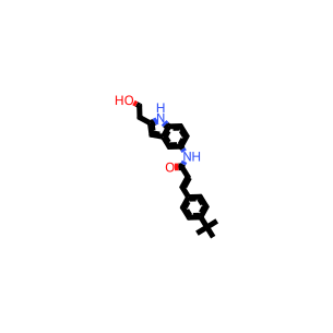 CC(C)(C)c1ccc(/C=C/C(=O)Nc2ccc3[nH]c(CCO)cc3c2)cc1